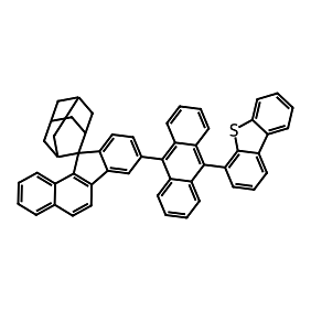 c1ccc2c3c(ccc2c1)-c1cc(-c2c4ccccc4c(-c4cccc5c4sc4ccccc45)c4ccccc24)ccc1C31C2CC3CC(C2)CC1C3